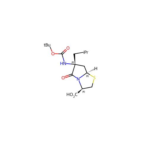 CC(C)C[C@@]1(NC(=O)OC(C)(C)C)C[C@H]2SC[C@@H](C(=O)O)N2C1=O